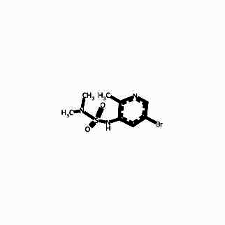 Cc1ncc(Br)cc1NS(=O)(=O)N(C)C